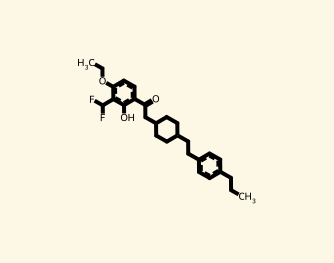 CCCc1ccc(CCC2CCC(CC(=O)c3ccc(OCC)c(C(F)F)c3O)CC2)cc1